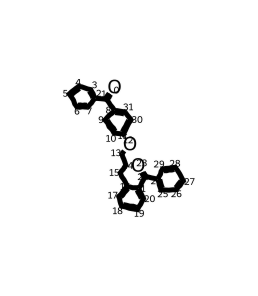 O=C(c1ccccc1)c1ccc(OCCCc2ccccc2C(=O)c2ccccc2)cc1